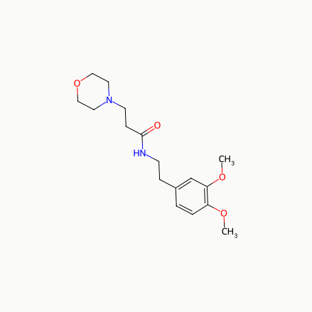 COc1ccc(CCNC(=O)CCN2CCOCC2)cc1OC